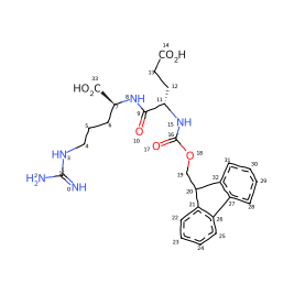 N=C(N)NCCC[C@H](NC(=O)[C@H](CCC(=O)O)NC(=O)OCC1c2ccccc2-c2ccccc21)C(=O)O